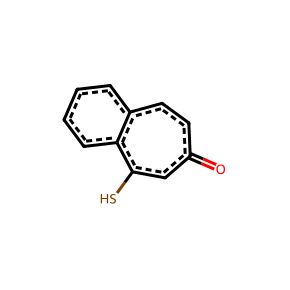 O=c1ccc2ccccc2c(S)c1